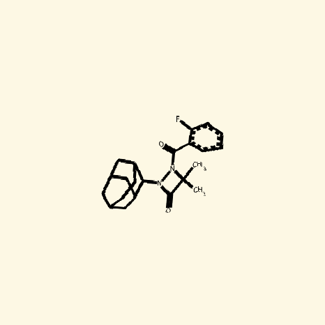 CC1(C)C(=O)N(C2C3CC4CC(C3)CC2C4)N1C(=O)c1ccccc1F